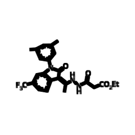 CCOC(=O)CC(=O)NN/C(C)=C1\C(=O)N(c2cc(C)cc(C)c2)c2cc(C(F)(F)F)ccc21